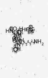 NCCCCCCCC(=O)NC(Cc1ccccc1)C(=O)NC(Cc1ccccc1)C(=O)NCCNC(=O)O.O=C(O)C(F)(F)F